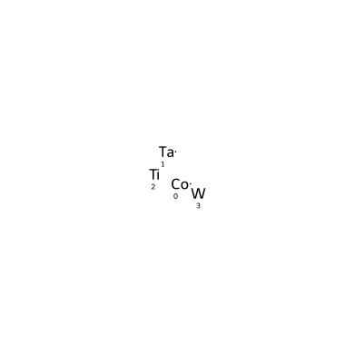 [Co].[Ta].[Ti].[W]